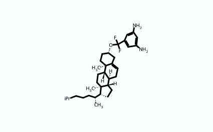 CC(C)CCC[C@@H](C)[C@H]1CC[C@H]2[C@@H]3CC=C4C[C@@H](OC(F)(F)c5cc(N)cc(N)c5)CC[C@]4(C)[C@H]3CC[C@]12C